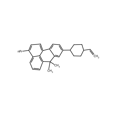 C=CC1CCC(c2ccc3c(c2)C(C)(C)c2cccc4c(CCC)ccc-3c24)CC1